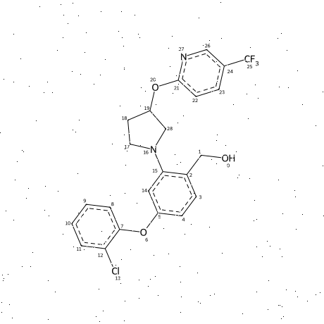 OCc1ccc(Oc2ccccc2Cl)cc1N1CCC(Oc2ccc(C(F)(F)F)cn2)C1